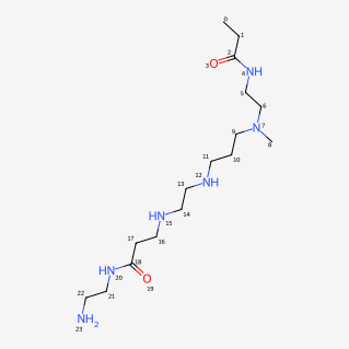 CCC(=O)NCCN(C)CCCNCCNCCC(=O)NCCN